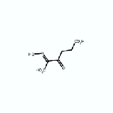 O=C(O)CCC(=O)C(=NO)C(=O)O